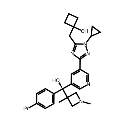 CC(C)c1ccc([C@](O)(c2cncc(-c3nc(CC4(O)CCC4)n(C4CC4)n3)c2)C2(C)CN(C)C2)cc1